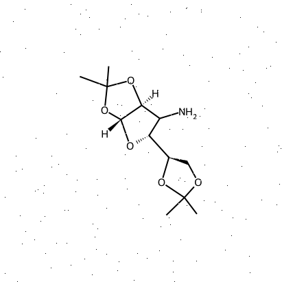 CC1(C)OC[C@H]([C@@H]2O[C@@H]3OC(C)(C)O[C@H]3C2N)O1